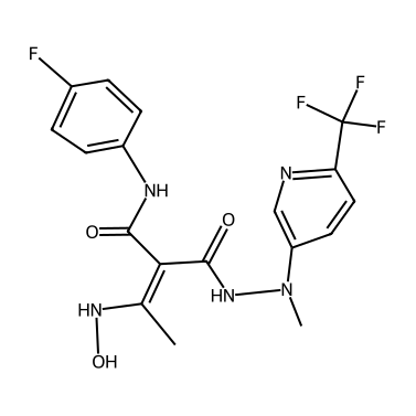 C/C(NO)=C(/C(=O)Nc1ccc(F)cc1)C(=O)NN(C)c1ccc(C(F)(F)F)nc1